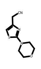 N#CCc1csc(N2CCOCC2)n1